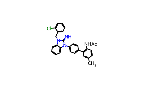 CC(=O)Nc1ccc(C)cc1-c1ccc(-n2c(=N)n(Cc3ccccc3Cl)c3ccccc32)cc1